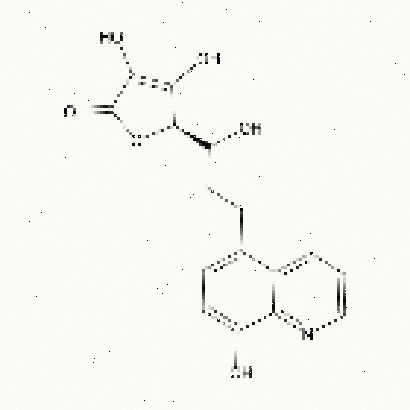 O=C1O[C@H](C(O)CCc2ccc(O)c3ncccc23)C(O)=C1O